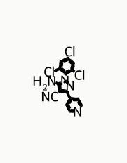 N#Cc1c(-c2ccncc2)nn(-c2c(Cl)cc(Cl)cc2Cl)c1N